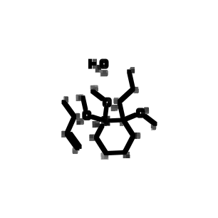 C=CCC.CCCC1(OC)CCCC[Si]1(OC)OC.O